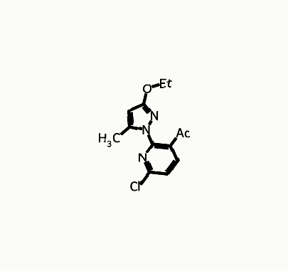 CCOc1cc(C)n(-c2nc(Cl)ccc2C(C)=O)n1